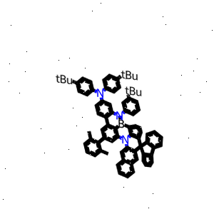 Cc1cccc(C)c1-c1cc2c3c(c1)N1c4cc5ccccc5cc4C4(c5ccccc5-c5ccccc54)c4cccc(c41)B3N(c1cccc(C(C)(C)C)c1)c1cc(N(c3ccc(C(C)(C)C)cc3)c3ccc(C(C)(C)C)cc3)ccc1-2